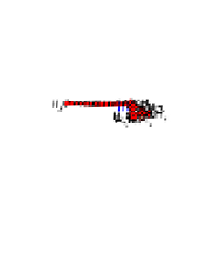 CC#CC#CC#CC#CC#CC#CC#CC#CC#CC#CC#CC#CC(=O)N[C@@H](CO[C@H]1OC(COS(=O)(=O)c2ccc(C)cc2)[C@H](C)[C@H](C)C1C)[C@H](OC(C)=O)[C@H](C)CCCCCCCCCCCCCC